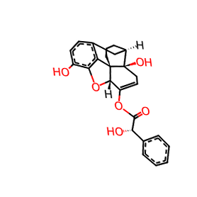 O=C(OC1=CC[C@@]2(O)[C@@H]3CCC[C@@]24c2c(ccc(O)c2O[C@@H]14)C3)[C@@H](O)c1ccccc1